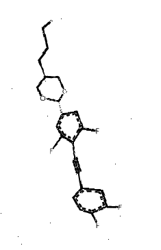 CCCC[C@H]1CO[C@H](c2cc(F)c(C#Cc3ccc(F)c(F)c3)c(F)c2)OC1